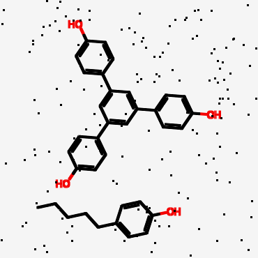 CCCCCc1ccc(O)cc1.Oc1ccc(-c2cc(-c3ccc(O)cc3)cc(-c3ccc(O)cc3)c2)cc1